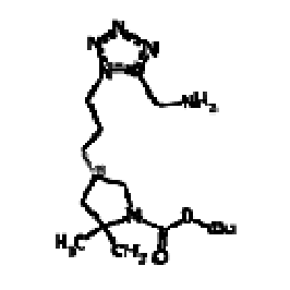 CC(C)(C)OC(=O)N1C[C@@H](CCCn2nnnc2CN)CC1(C)C